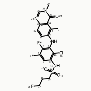 Cc1c(Nc2c(F)c(F)cc(NS(=O)(=O)CCCF)c2Cl)ccc2ncn(C)c(=O)c12